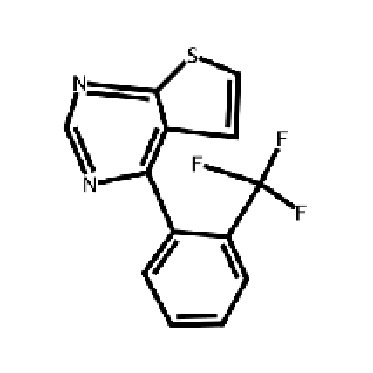 FC(F)(F)c1ccccc1-c1ncnc2sccc12